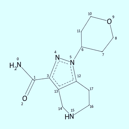 NC(=O)c1nn(C2CCOCC2)c2c1CNCC2